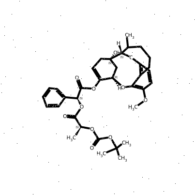 COc1ccc2c3c1O[C@@H]1C[C@@](O)(CC=C1OC(=O)[C@@H](OC(=O)[C@H](C)OC(=O)OC(C)(C)C)c1ccccc1)[C@@H](C2)C(C)CCC3